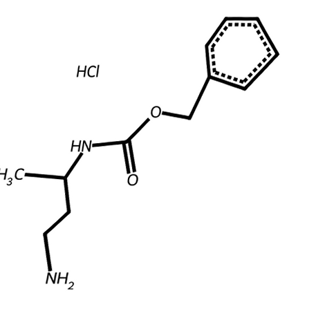 CC(CCN)NC(=O)OCc1ccccc1.Cl